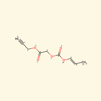 C#CCOC(=O)COC(=O)OC=CC